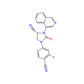 N#Cc1ccc(N2CC(C#N)N(c3cncc4ccccc34)C2=O)cc1F